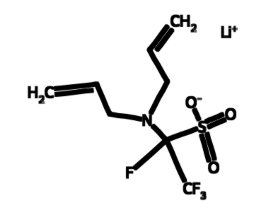 C=CCN(CC=C)C(F)(C(F)(F)F)S(=O)(=O)[O-].[Li+]